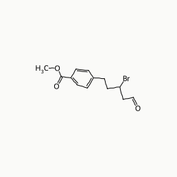 COC(=O)c1ccc(CCC(Br)CC=O)cc1